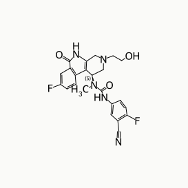 CN(C(=O)Nc1ccc(F)c(C#N)c1)[C@@H]1CN(CCO)Cc2[nH]c(=O)c3cc(F)ccc3c21